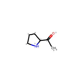 CC(=O)C1[CH]CCN1